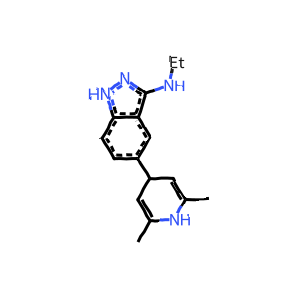 CCNc1n[nH]c2ccc(C3C=C(C)NC(C)=C3)cc12